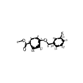 COC(=O)c1ccc(OCc2cccc(F)c2)cc1